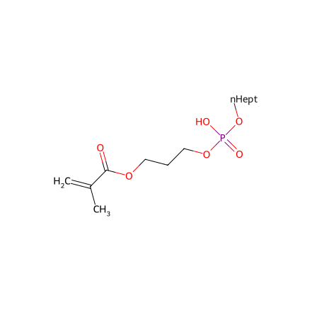 C=C(C)C(=O)OCCCOP(=O)(O)OCCCCCCC